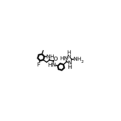 Cc1ccc(F)c2c1NC(C(=O)Nc1cccc(C3NNC(N)N3)c1)C2